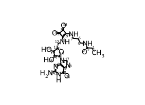 CCC(=O)NCCCNc1c(NC[C@H]2O[C@@H](n3cnc4c(=O)[nH]c(N)nc43)[C@H](O)[C@@H]2O)c(=O)c1=O